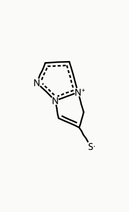 [S]C1=Cn2ncc[n+]2C1